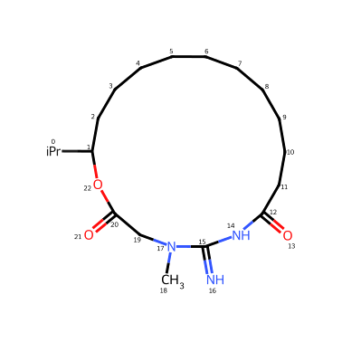 CC(C)C1CCCCCCCCCCC(=O)NC(=N)N(C)CC(=O)O1